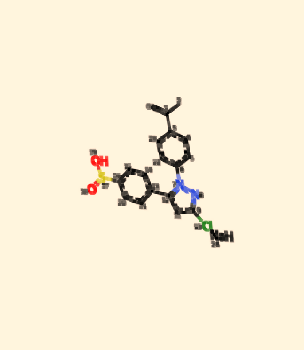 C=C(C)c1ccc(-n2nc(Cl)cc2-c2ccc(S(=O)O)cc2)cc1.[NaH]